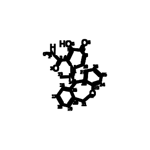 CNC(=O)c1c(O)c(=O)ccn1N(C)C1c2ccccc2COc2ccccc21